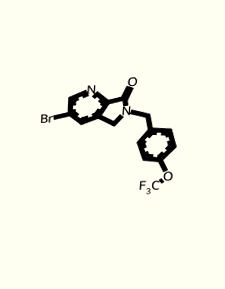 O=C1c2ncc(Br)cc2CN1Cc1ccc(OC(F)(F)F)cc1